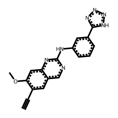 C#Cc1cc2cnc(Nc3cccc(-c4nnn[nH]4)c3)nc2cc1OC